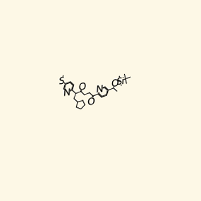 CSc1ccc(C(CC2CCCC2)C(=O)CCC(=O)c2ccc(C(C)O[Si](C)(C)C(C)(C)C)cn2)nc1